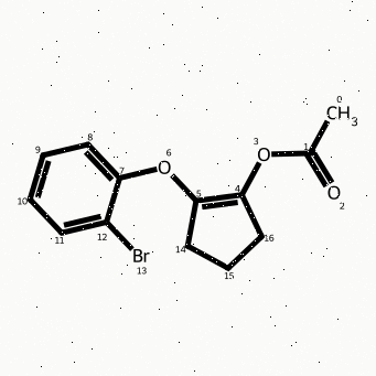 CC(=O)OC1=C(Oc2ccccc2Br)CCC1